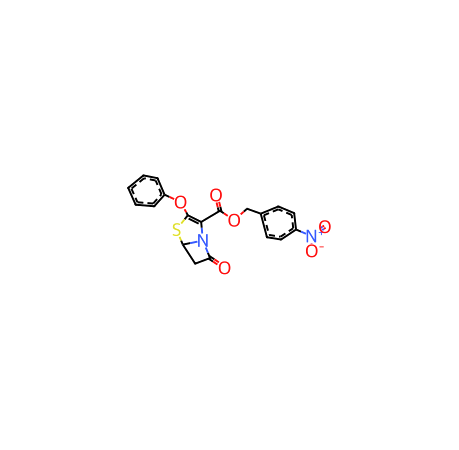 O=C(OCc1ccc([N+](=O)[O-])cc1)C1=C(Oc2ccccc2)SC2CC(=O)N12